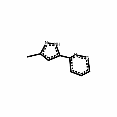 Cc1cc(-c2cccnn2)[nH]n1